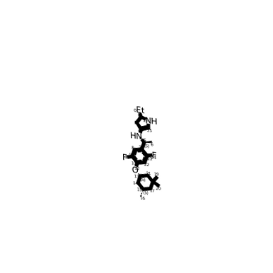 CCC1CC(N[C@@H](C)c2cc(F)c(O[C@H]3C[C@@H](C)CC(C)(C)C3)cc2F)=CN1